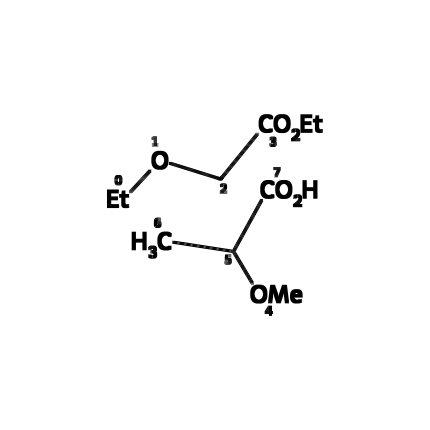 CCOCC(=O)OCC.COC(C)C(=O)O